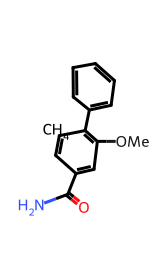 C.COc1cc(C(N)=O)ccc1-c1ccccc1